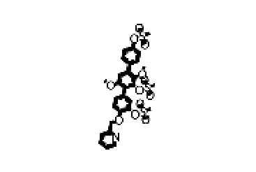 COc1cc(-c2ccc(OS(C)(=O)=O)cc2)c(OC)c(OS(C)(=O)=O)c1-c1ccc(OCc2ccccn2)c(OS(C)(=O)=O)c1